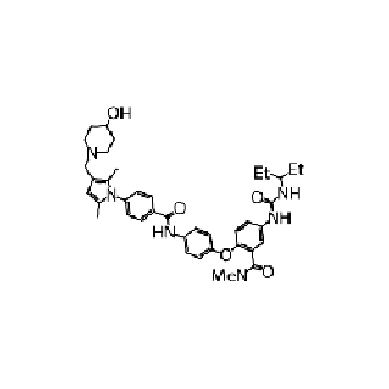 CCC(CC)NC(=O)Nc1ccc(Oc2ccc(NC(=O)c3ccc(-n4c(C)cc(CN5CCC(O)CC5)c4C)cc3)cc2)c(C(=O)NC)c1